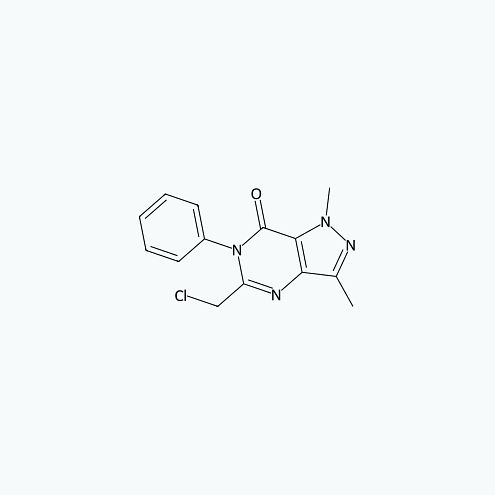 Cc1nn(C)c2c(=O)n(-c3ccccc3)c(CCl)nc12